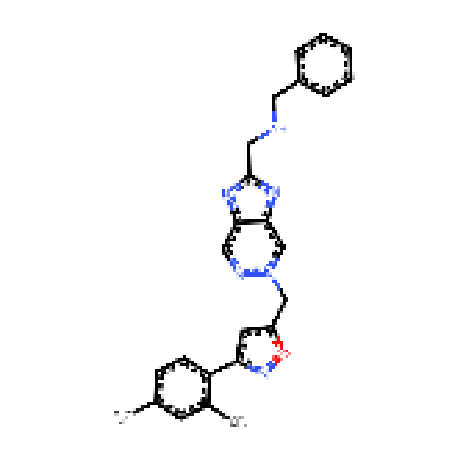 FC(F)(F)c1ccc(-c2cc(Cn3cc4nc(CNCc5ccccc5)nc-4cn3)on2)c(C(F)(F)F)c1